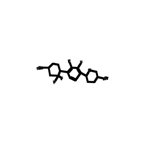 CCCCC1CCC(c2ccc(C3CCC(CCC)CO3)c(F)c2F)C(F)(F)C1